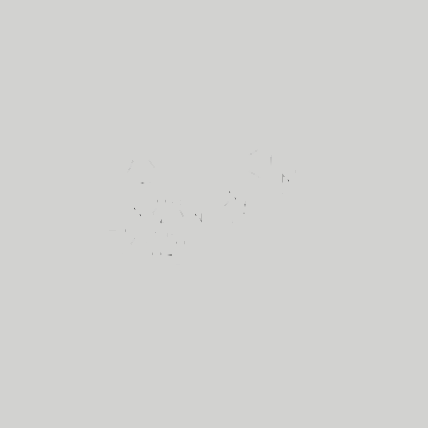 CC(=O)O[C@@H](C(=O)NCc1nc(Cc2ccccc2N(C)C)cs1)[C@@H](OC(C)=O)C(=O)N1CCCC1c1ccccc1